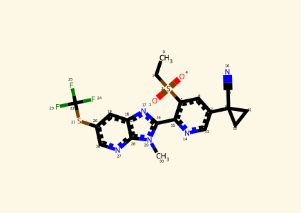 CCS(=O)(=O)c1cc(C2(C#N)CC2)cnc1-c1nc2cc(SC(F)(F)F)cnc2n1C